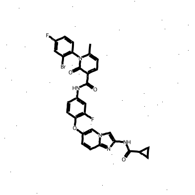 Cc1ccc(C(=O)Nc2ccc(Oc3ccc4nc(NC(=O)C5CC5)cn4c3)c(F)c2)c(=O)n1-c1ccc(F)cc1Br